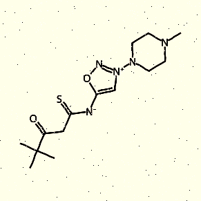 CN1CCN([n+]2cc([N-]C(=S)CC(=O)C(C)(C)C)on2)CC1